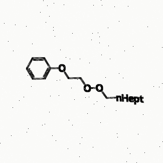 CCCCCCCCOOCCOc1ccccc1